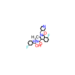 Cc1c(C(=O)N[C@@H](O)c2cccc(F)c2)c2cccc(F)c2c(=O)n1Cc1ccncc1